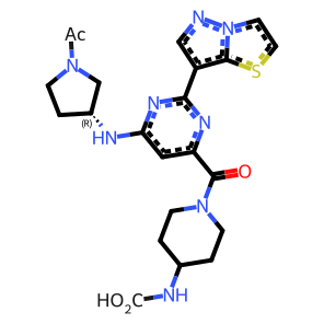 CC(=O)N1CC[C@@H](Nc2cc(C(=O)N3CCC(NC(=O)O)CC3)nc(-c3cnn4ccsc34)n2)C1